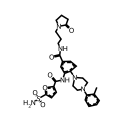 Cc1ccccc1N1CCN(c2ccc(C(=O)NCCCN3CCCC3=O)cc2NC(=O)c2ccc(S(N)(=O)=O)o2)CC1